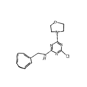 Clc1nc(NCc2ccccc2)nc(N2CCOCC2)n1